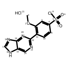 COc1cc(S(=O)(=O)Cl)ccc1-c1ncc2[nH]cnc2n1.Cl